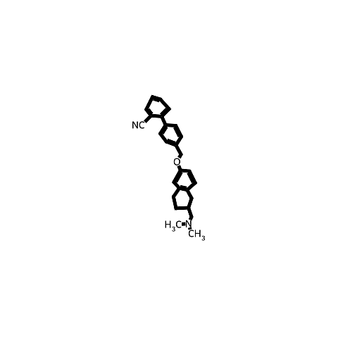 CN(C)CC1CCc2cc(OCc3ccc(-c4ccccc4C#N)cc3)ccc2C1